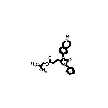 CC(C)COC(=O)CCC1CN(c2ccccc2)C(=O)N1c1ccc2c(c1)CCNC2